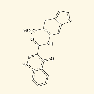 O=C(O)C1=C(NC(=O)c2c[nH]c3ccccc3c2=O)C=C2N=CC=C2C1